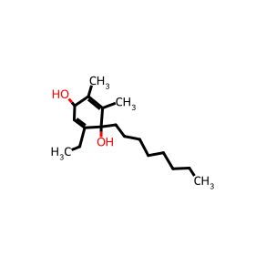 CCCCCCCCC1(O)C(CC)=CC(O)C(C)=C1C